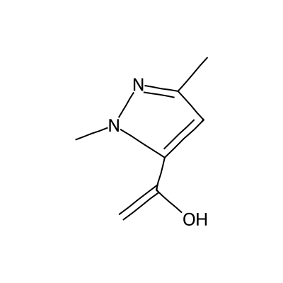 C=C(O)c1cc(C)nn1C